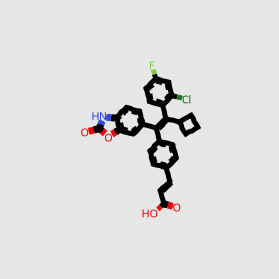 O=C(O)C=Cc1ccc(C(=C(c2ccc(F)cc2Cl)C2CCC2)c2ccc3[nH]c(=O)oc3c2)cc1